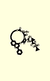 CCCC[C@@H]1NC(=O)OCCCCCc2ccc3nc(-c4ccccc4)cc(c3c2)O[C@@H]2C[C@@H](C(=O)N[C@]3(C(=O)NS(=O)(=O)C4CC4)C[C@H]3CC)N(C2)C1=O